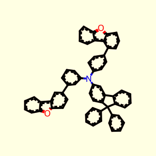 c1ccc(C2(c3ccccc3)c3ccccc3-c3cc(N(c4ccc(-c5cccc6oc7ccccc7c56)cc4)c4cccc(-c5ccc6oc7ccccc7c6c5)c4)ccc32)cc1